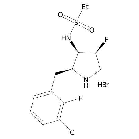 Br.CCS(=O)(=O)N[C@@H]1[C@H](Cc2cccc(Cl)c2F)NC[C@@H]1F